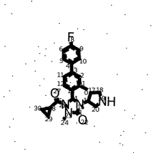 Cc1cc(-c2ccc(F)cc2)ccc1C1N(C2CCNC2)C(=O)N(C)N1C(=O)C1CC1